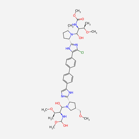 COC[C@H]1C[C@@H](c2ncc(-c3ccc(-c4ccc(-c5[nH]c([C@@H]6CC[C@H](C)N6C(O)[C@@H](NC(=O)OC)[C@@H](C)OC)nc5Cl)cc4)cc3)[nH]2)N(C(O)[C@@H](NC(O)OC)[C@@H](C)OC)C1